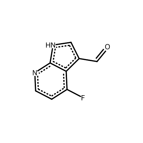 O=Cc1c[nH]c2nccc(F)c12